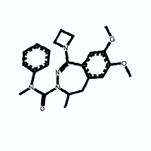 COc1cc2c(cc1OC)C(N1CCC1)=NN(C(=O)N(C)c1ccccc1)C(C)C2